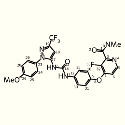 CNC(=O)c1nccc(Oc2ccc(NC(=O)Nc3cc(C(F)(F)F)nn3-c3ccc(OC)cc3)cc2)c1F